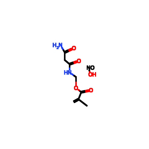 C=C(C)C(=O)OCNC(=O)CC(N)=O.O=NO